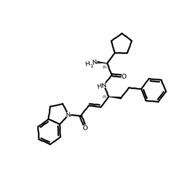 N[C@H](C(=O)N[C@H](C=CC(=O)N1CCc2ccccc21)CCc1ccccc1)C1CCCC1